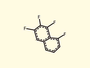 Fc1[c]c2cccc(F)c2c(F)c1F